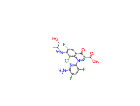 CC(CO)Nc1c(F)cc2c(=O)c(C(=O)O)cn(-c3nc(N)c(F)cc3F)c2c1Cl